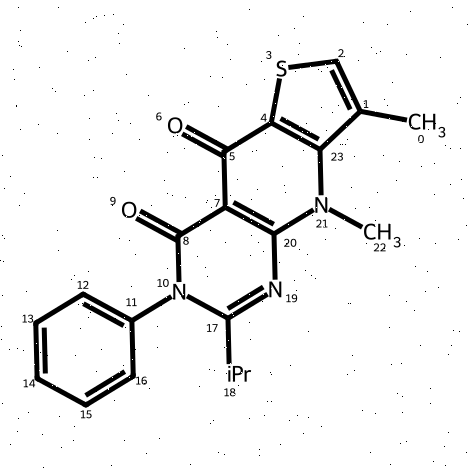 Cc1csc2c(=O)c3c(=O)n(-c4ccccc4)c(C(C)C)nc3n(C)c12